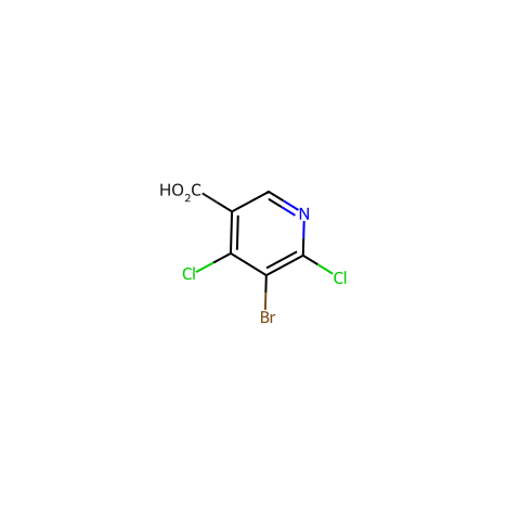 O=C(O)c1cnc(Cl)c(Br)c1Cl